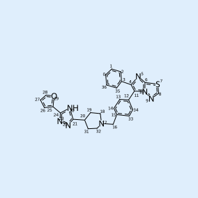 c1ccc(-c2nc3scnn3c2-c2ccc(CN3CCC(c4nnc(-c5ccco5)[nH]4)CC3)cc2)cc1